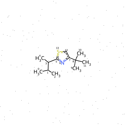 CC(C)C(C)c1nc(C(C)(C)C)cs1